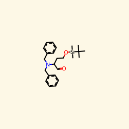 CC(C)(C)[Si](C)(C)OCCC(C=O)N(Cc1ccccc1)Cc1ccccc1